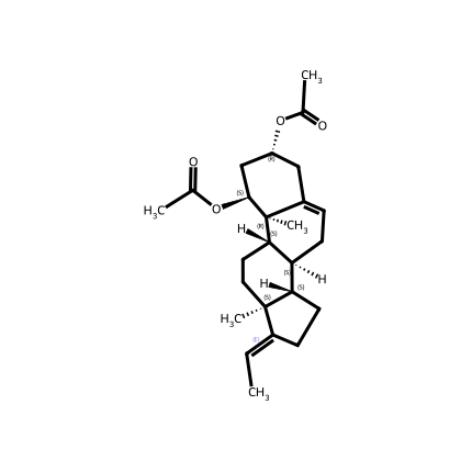 C/C=C1\CC[C@H]2[C@@H]3CC=C4C[C@@H](OC(C)=O)C[C@H](OC(C)=O)[C@]4(C)[C@H]3CC[C@]12C